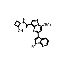 CNc1cc(-c2cn(C(C)C)c3ncccc23)nc2c(C(=O)N[C@H]3CC[C@H]3O)cnn12